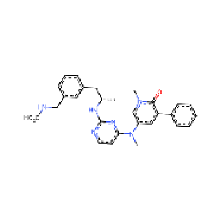 C[C@@H](Cc1cccc(CNC(=O)O)c1)Nc1nccc(N(C)c2cc(-c3ccccc3)c(=O)n(C)c2)n1